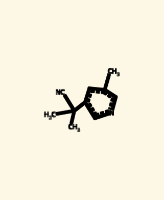 Cc1cncc(C(C)(C)C#N)c1